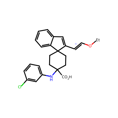 CCO/C=C/C1=Cc2ccccc2C12CCC(Nc1cccc(Cl)c1)(C(=O)O)CC2